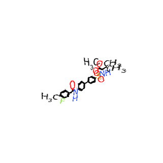 COC(=O)[C@@H](NS(=O)(=O)c1ccc(-c2ccc(NC(=O)c3ccc(C)c(F)c3)cc2)cc1)C(C)C